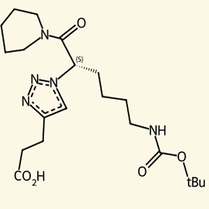 CC(C)(C)OC(=O)NCCCC[C@@H](C(=O)N1CCCCC1)n1cc(CCC(=O)O)nn1